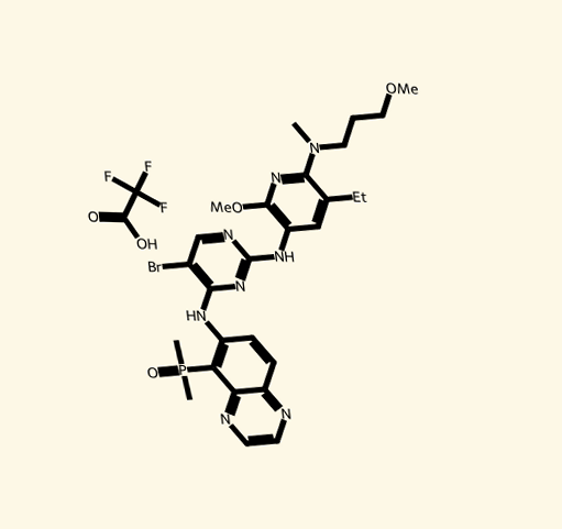 CCc1cc(Nc2ncc(Br)c(Nc3ccc4nccnc4c3P(C)(C)=O)n2)c(OC)nc1N(C)CCCOC.O=C(O)C(F)(F)F